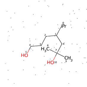 CC(C)C(CCCO)CC(C)(C)O